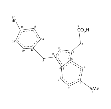 CSc1ccc2c(c1)c(CC(=O)O)cn2Cc1ccc(Br)cc1